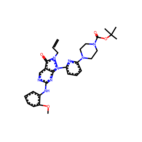 C=CCn1c(=O)c2cnc(Nc3ccccc3OC)nc2n1-c1cccc(N2CCN(C(=O)OC(C)(C)C)CC2)n1